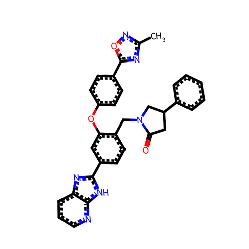 Cc1noc(-c2ccc(Oc3cc(-c4nc5cccnc5[nH]4)ccc3CN3CC(c4ccccc4)CC3=O)cc2)n1